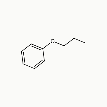 CCCOc1[c]cccc1